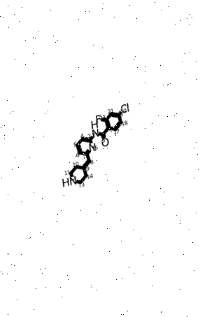 O=C(Nc1cccc(C=C2CCNCC2)n1)c1ccc(Cl)cc1F